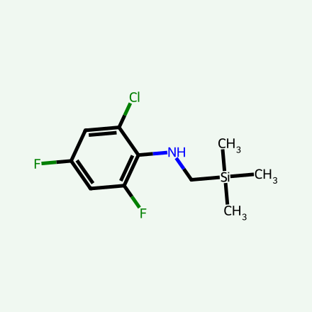 C[Si](C)(C)CNc1c(F)cc(F)cc1Cl